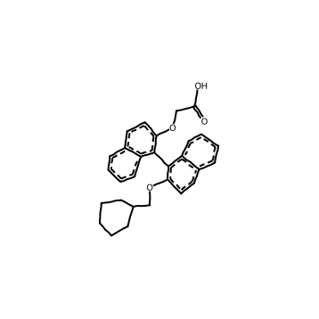 O=C(O)COc1ccc2ccccc2c1-c1c(OCC2CCCCC2)ccc2ccccc12